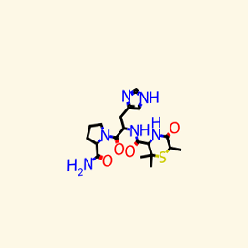 CC1SC(C)(C)C(C(=O)NC(Cc2c[nH]cn2)C(=O)N2CCCC2C(N)=O)NC1=O